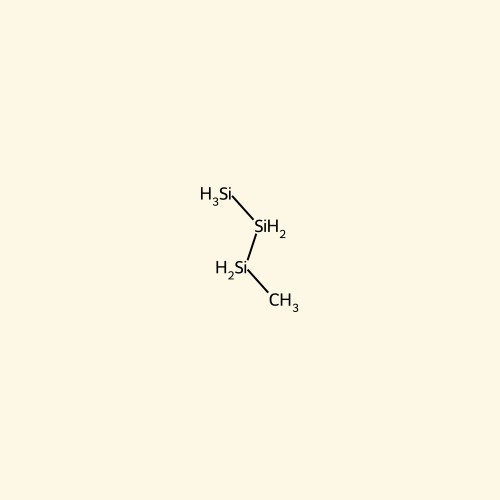 C[SiH2][SiH2][SiH3]